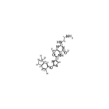 COc1nc(NCCN)nc(OC)c1NC(=O)c1csc(Oc2cc3c(cc2C)CCC3(C)C)n1